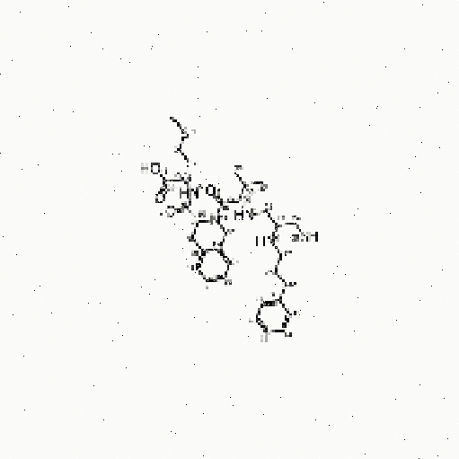 CSCC[C@H](NC(=O)[C@H]1Cc2ccccc2CN1C(=O)[C@@H](NCC(CS)NCCCc1ccccc1)C(C)C)C(=O)O